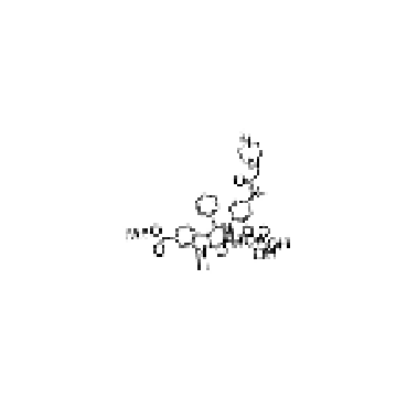 COC(=O)c1ccc2c(c1)NC(=O)/C2=C(\Nc1ccc(N(C)C(=O)CN2CCN(C)CC2)cc1)c1ccccc1.O.O=P(O)(O)O